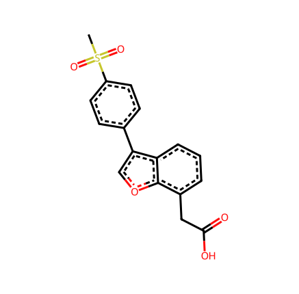 CS(=O)(=O)c1ccc(-c2coc3c(CC(=O)O)cccc23)cc1